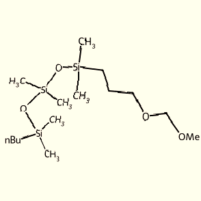 CCCC[Si](C)(C)O[Si](C)(C)O[Si](C)(C)CCCOCOC